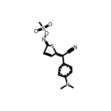 CN(C)c1ccc(C(C#N)=C2C=CC(=NOS(C)(=O)=O)S2)cc1